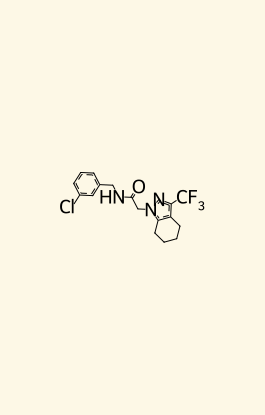 O=C(Cn1nc(C(F)(F)F)c2c1CCCC2)NCc1cccc(Cl)c1